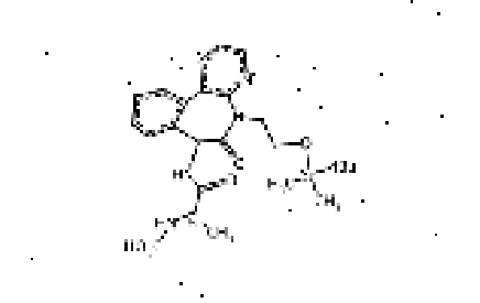 C[C@H](NC(=O)O)C(=O)NC1C(=O)N(CCO[Si](C)(C)C(C)(C)C)c2ncccc2-c2ccccc21